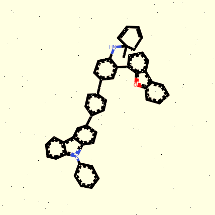 CC1(Nc2ccc(-c3ccc(-c4ccc5c(c4)c4ccccc4n5-c4ccccc4)cc3)cc2-c2cccc3c2oc2ccccc23)C=CC=CC1